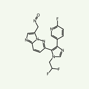 O=NCc1cnc2ccc(-c3c(-c4ccc(F)nc4)ncn3CC(F)F)nn12